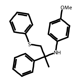 COc1ccc(NC(C)(CSc2ccccc2)c2ccccc2)cc1